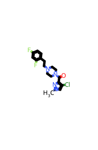 Cn1cc(Cl)c(C(=O)N2CCN(CCc3ccc(F)cc3F)CC2)n1